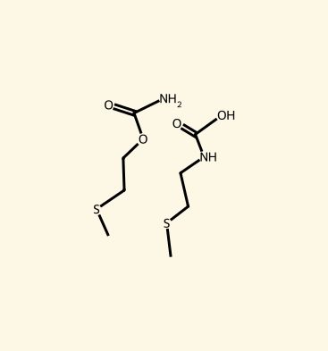 CSCCNC(=O)O.CSCCOC(N)=O